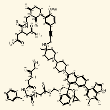 COc1ccc(C#CCNC2(C)CCN(C3CCN(c4nc([C@@](COCNC(=O)CNC(=O)[C@H](Cc5ccccc5)NC(=O)CNC(=O)CN)(OC5CC5)c5ccccc5)c5cc(-c6cn(C)c(=O)c7[nH]ccc67)ccc5n4)CC3)CC2)cc1N1CCC(=O)N(CNC(=O)C(CC(N)=O)CC(N)=O)C1=O